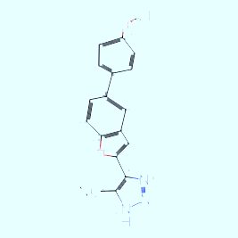 N#Cc1[nH]nnc1-c1cc2cc(-c3ccc(OC(F)(F)F)cc3)ccc2o1